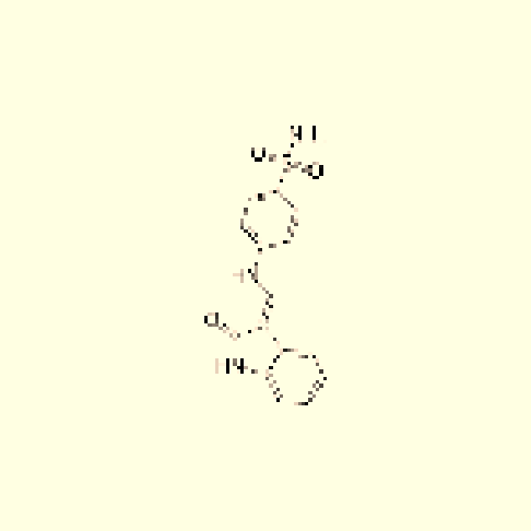 NS(=O)(=O)c1ccc(N/C=C2\C(=O)Nc3ccccc32)cc1